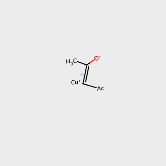 CC(=O)/C=C(/C)[O-].[Cu+]